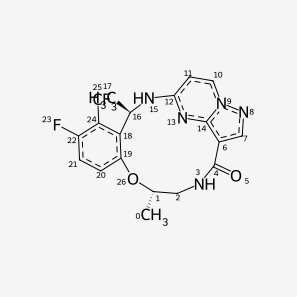 C[C@H]1CNC(=O)c2cnn3ccc(nc23)N[C@H](C)c2c(ccc(F)c2C(F)(F)F)O1